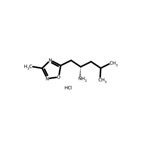 Cc1noc(C[C@@H](N)CC(C)C)n1.Cl